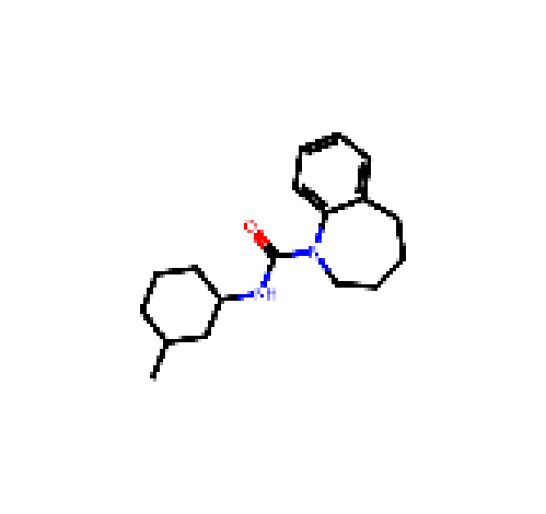 CC1CCCC(NC(=O)N2CCCCc3ccccc32)C1